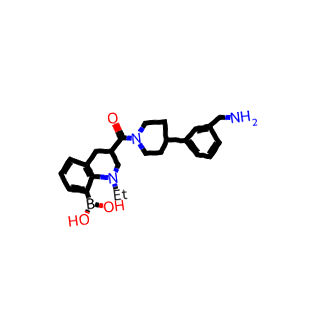 CCN1CC(C(=O)N2CCC(c3cccc(CN)c3)CC2)Cc2cccc(B(O)O)c21